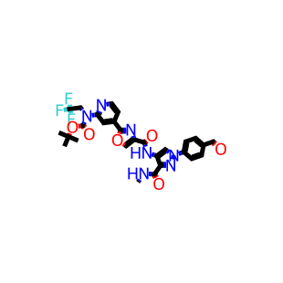 CNC(=O)c1nn(-c2ccc(C=O)cc2)cc1NC(=O)c1coc(-c2ccnc(N(CC(F)(F)F)C(=O)OC(C)(C)C)c2)n1